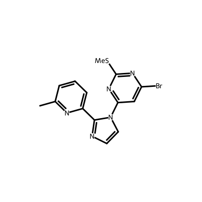 CSc1nc(Br)cc(-n2ccnc2-c2cccc(C)n2)n1